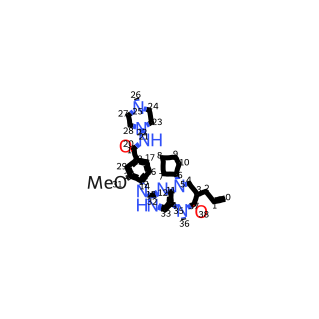 C=CCC1CN(C2CCCC2)c2nc(Nc3ccc(C(=O)NN4CCN(C)CC4)cc3OC)ncc2N(C)C1=O